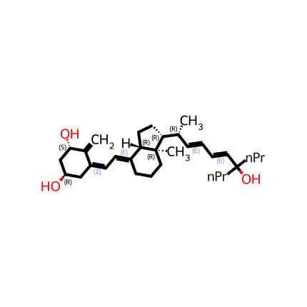 C=C1/C(=C\C=C2/CCC[C@]3(C)[C@@H]([C@H](C)/C=C/C=C/C(O)(CCC)CCC)CC[C@@H]23)C[C@@H](O)C[C@@H]1O